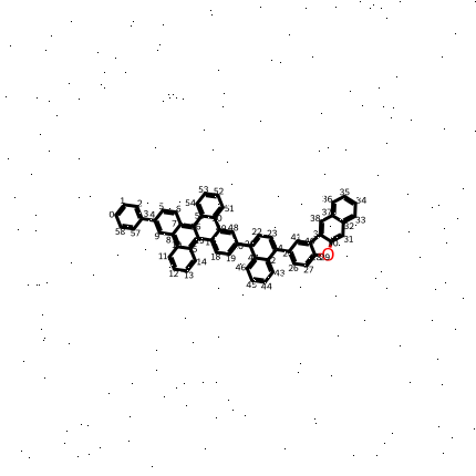 c1ccc(-c2ccc3c(c2)c2ccccc2c2c4ccc(-c5ccc(-c6ccc7oc8cc9ccccc9cc8c7c6)c6ccccc56)cc4c4ccccc4c32)cc1